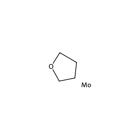 C1CCOC1.[Mo]